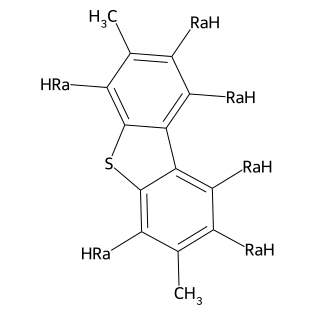 Cc1[c]([RaH])[c]([RaH])c2c(sc3[c]([RaH])c(C)[c]([RaH])[c]([RaH])c32)[c]1[RaH]